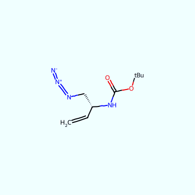 C=C[C@H](CN=[N+]=[N-])NC(=O)OC(C)(C)C